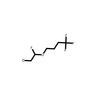 [O]CC(F)OCCCC(F)(F)F